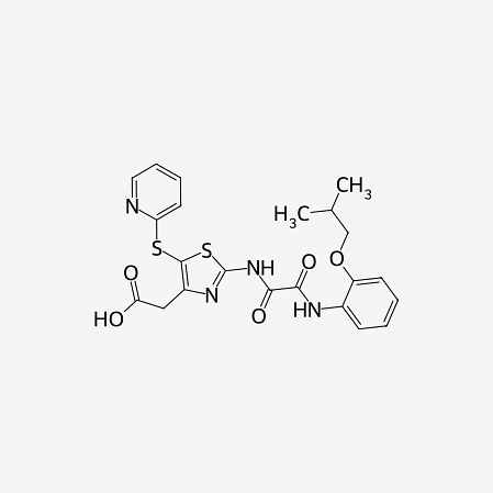 CC(C)COc1ccccc1NC(=O)C(=O)Nc1nc(CC(=O)O)c(Sc2ccccn2)s1